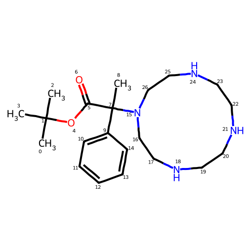 CC(C)(C)OC(=O)C(C)(c1ccccc1)N1CCNCCNCCNCC1